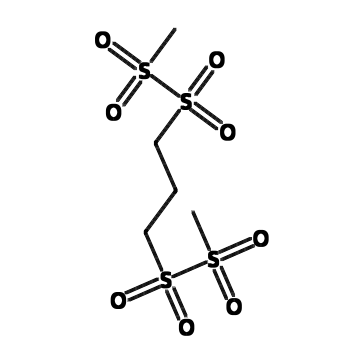 CS(=O)(=O)S(=O)(=O)CCCS(=O)(=O)S(C)(=O)=O